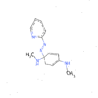 CNC1=CCC(N=Nc2ccccn2)(NC)C=C1